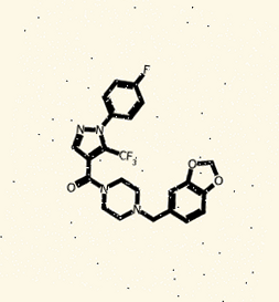 O=C(c1cnn(-c2ccc(F)cc2)c1C(F)(F)F)N1CCN(Cc2ccc3c(c2)OCO3)CC1